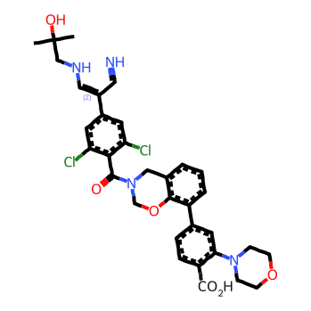 CC(C)(O)CN/C=C(\C=N)c1cc(Cl)c(C(=O)N2COc3c(cccc3-c3ccc(C(=O)O)c(N4CCOCC4)c3)C2)c(Cl)c1